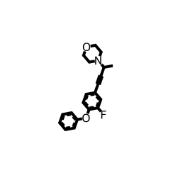 CC(C#Cc1ccc(Oc2ccccc2)c(F)c1)N1CCOCC1